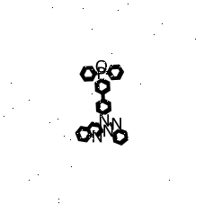 O=P(c1ccccc1)(c1ccccc1)c1ccc(-c2ccc(-n3c4cc5ccccc5nc4n4c5ccccc5nc34)cc2)cc1